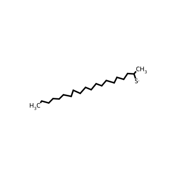 CCCCCCCCCCCCCCCCCCC(C)[S]